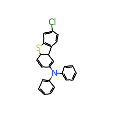 Clc1ccc2c(c1)SC1C=CC(N(c3ccccc3)c3ccccc3)=CC21